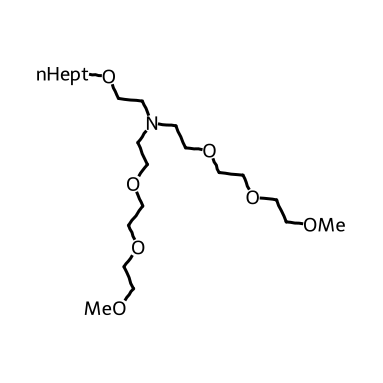 CCCCCCCOCCN(CCOCCOCCOC)CCOCCOCCOC